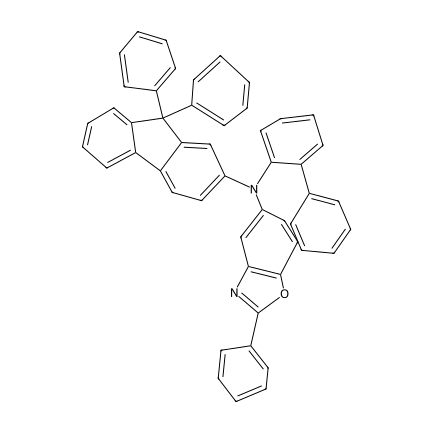 c1ccc(-c2nc3cc(N(c4ccc5c(c4)C(c4ccccc4)(c4ccccc4)c4ccccc4-5)c4ccccc4-c4ccccc4)ccc3o2)cc1